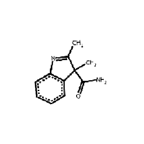 CC1=Nc2ccccc2C1(C)C(N)=O